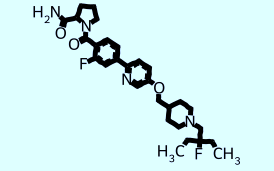 CCC(F)(CC)CN1CCC(COc2ccc(-c3ccc(C(=O)N4CCCC4C(N)=O)c(F)c3)nc2)CC1